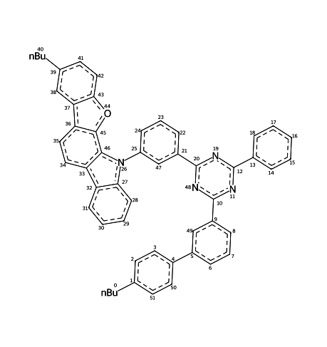 CCCCc1ccc(-c2cccc(-c3nc(-c4ccccc4)nc(-c4cccc(-n5c6ccccc6c6ccc7c8cc(CCCC)ccc8oc7c65)c4)n3)c2)cc1